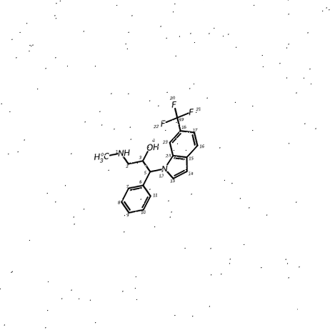 CNCC(O)C(c1ccccc1)n1ccc2ccc(C(F)(F)F)cc21